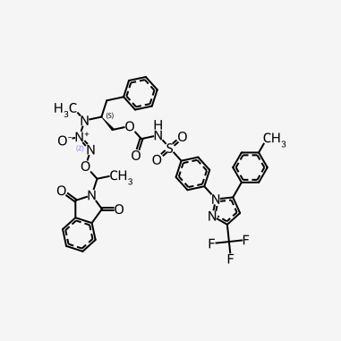 Cc1ccc(-c2cc(C(F)(F)F)nn2-c2ccc(S(=O)(=O)NC(=O)OC[C@H](Cc3ccccc3)N(C)/[N+]([O-])=N/OC(C)N3C(=O)c4ccccc4C3=O)cc2)cc1